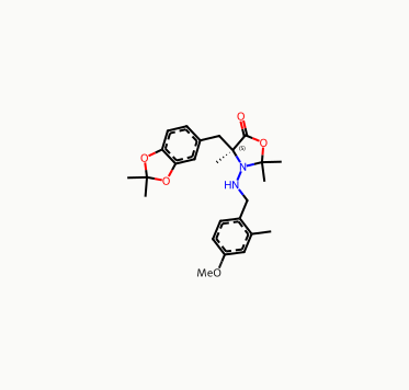 COc1ccc(CNN2C(C)(C)OC(=O)[C@]2(C)Cc2ccc3c(c2)OC(C)(C)O3)c(C)c1